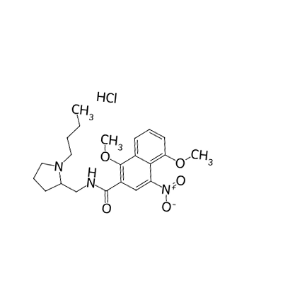 CCCCN1CCCC1CNC(=O)c1cc([N+](=O)[O-])c2c(OC)cccc2c1OC.Cl